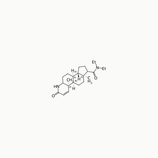 CCN(CC)C(=O)C1CC[C@H]2[C@@H]3CCC4NC(=O)C=C[C@]4(C)[C@@H]3CC[C@]12C